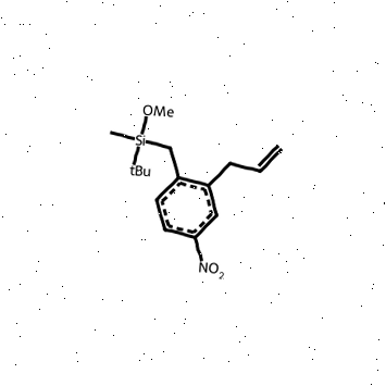 C=CCc1cc([N+](=O)[O-])ccc1C[Si](C)(OC)C(C)(C)C